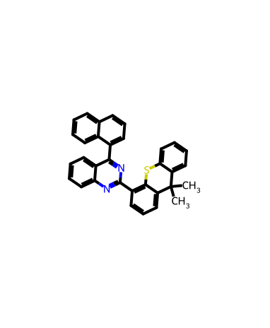 CC1(C)c2ccccc2Sc2c(-c3nc(-c4cccc5ccccc45)c4ccccc4n3)cccc21